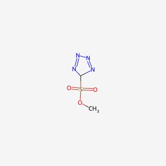 COS(=O)(=O)C1N=NN=N1